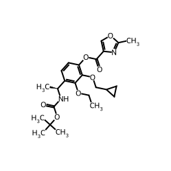 CCOc1c([C@H](C)NC(=O)OC(C)(C)C)ccc(OC(=O)c2coc(C)n2)c1OCC1CC1